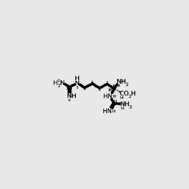 N=C(N)NCCCC[C@@](N)(NC(=N)N)C(=O)O